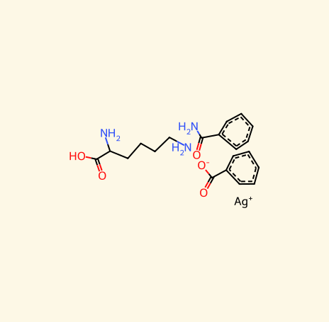 NC(=O)c1ccccc1.NCCCCC(N)C(=O)O.O=C([O-])c1ccccc1.[Ag+]